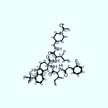 CCC(C)[C@H](NC(=O)Cc1ccccc1F)C(=O)N[C@]1(C(=O)NC(C(=O)NCC2CCN(C(C)=O)CC2)[C@@H](C)CC)CCc2[nH]c3c(C(F)(F)F)cccc3c2C1